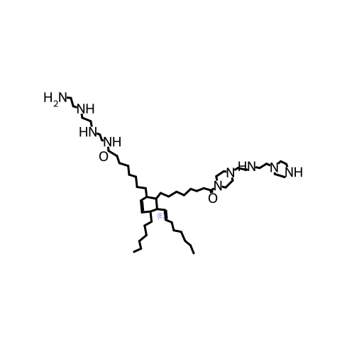 CCCCCC/C=C/C1C(CCCCCC)C=CC(CCCCCCCC(=O)NCCNCCNCCN)C1CCCCCCCC(=O)N1CCN(CCNCCN2CCNCC2)CC1